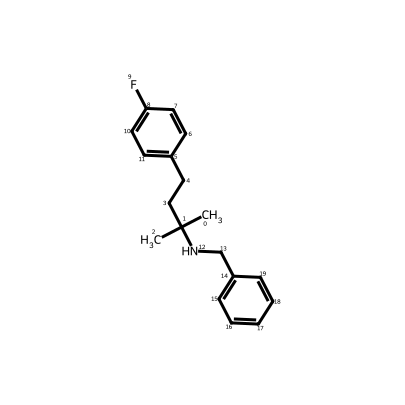 CC(C)(CCc1ccc(F)cc1)NCc1ccccc1